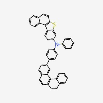 c1ccc(N(c2ccc(-c3ccc4ccc5ccc6ccccc6c5c4c3)cc2)c2ccc3c(c2)sc2ccc4ccccc4c23)cc1